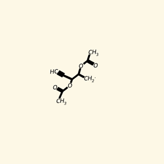 C#CC(OC(C)=O)C([CH2])OC(C)=O